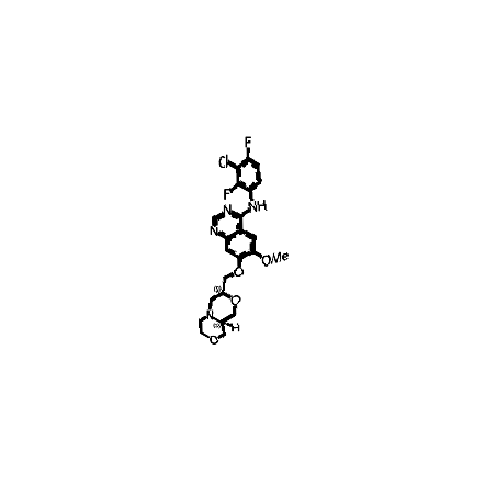 COc1cc2c(Nc3ccc(F)c(Cl)c3F)ncnc2cc1OC[C@@H]1CN2CCOC[C@H]2CO1